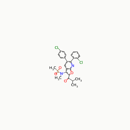 CC(C)C(=O)c1oc2nc(-c3ccccc3Cl)c(-c3ccc(Cl)cc3)cc2c1N(C)S(C)(=O)=O